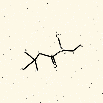 CC[S+]([O-])C(=O)CC(C)(C)C